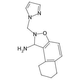 NC1c2c(ccc3c2CCCC3)ON1Cn1cccn1